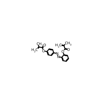 C=C(C)C(=O)Oc1ccc(N=Nc2ccccc2OC(=O)C(=C)C)cc1